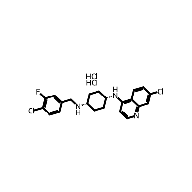 Cl.Cl.Fc1cc(CN[C@H]2CC[C@@H](Nc3ccnc4cc(Cl)ccc34)CC2)ccc1Cl